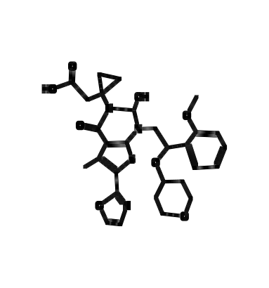 COc1ccccc1C(CN1c2sc(-c3ncco3)c(C)c2C(=O)N(C2(CC(=O)O)CC2)C1O)OC1CCOCC1